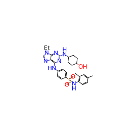 CCn1cnc2c(Nc3ccc(S(=O)(=O)Nc4ccc(C)cc4C)cc3)nc(NC3CCC(O)CC3)nc21